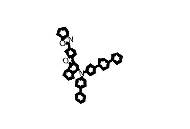 c1ccc(-c2ccc(-c3ccc(N(c4ccc(-c5ccccc5)cc4)c4cc5c6ccc(-c7nc8ccccc8o7)cc6oc5c5ccccc45)cc3)cc2)cc1